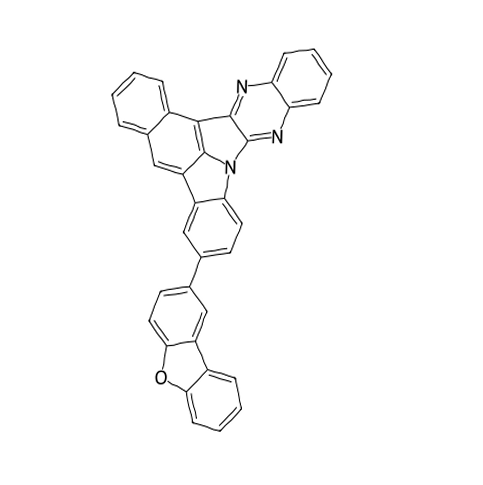 c1ccc2c(c1)cc1c3cc(-c4ccc5oc6ccccc6c5c4)ccc3n3c4nc5ccccc5nc4c2c13